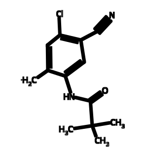 [CH2]c1cc(Cl)c(C#N)cc1NC(=O)C(C)(C)C